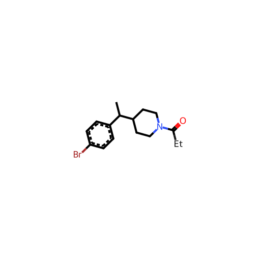 CCC(=O)N1CCC(C(C)c2ccc(Br)cc2)CC1